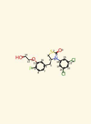 O=C1SC[C@H](Cc2ccc(F)c(OCCO)c2)N1c1cc(Cl)cc(Cl)c1